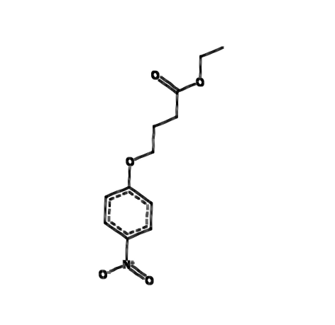 CCOC(=O)CCCOc1ccc([N+](=O)[O-])cc1